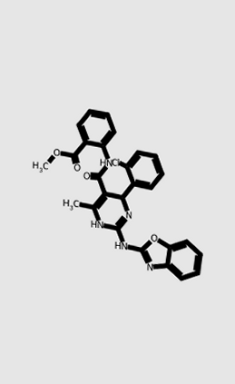 COC(=O)c1ccccc1NC(=O)C1=C(C)NC(Nc2nc3ccccc3o2)=NC1c1ccccc1Cl